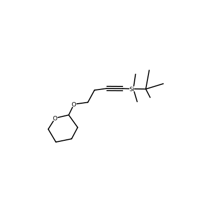 CC(C)(C)[Si](C)(C)C#CCCOC1CCCCO1